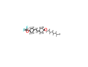 CCCCCCCCOC1CCC(C=Cc2ccc(OC(F)F)cc2)CC1